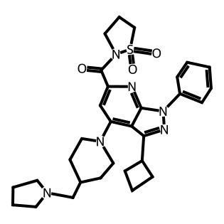 O=C(c1cc(N2CCC(CN3CCCC3)CC2)c2c(C3CCC3)nn(-c3ccccc3)c2n1)N1CCCS1(=O)=O